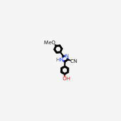 COc1ccc(-c2nc(C#N)c(-c3ccc(O)cc3)[nH]2)cc1